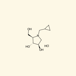 Cl.OC[C@@H]1[C@@H](O)[C@H](O)CN1CC1CC1